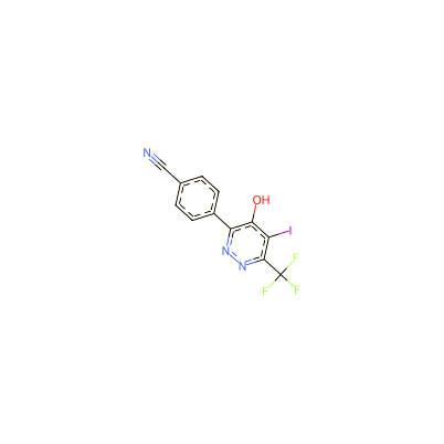 N#Cc1ccc(-c2nnc(C(F)(F)F)c(I)c2O)cc1